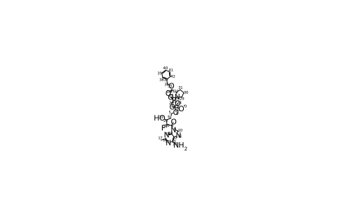 COP(=O)(OC[C@H]1O[C@@H](n2cnc3c(N)nc(C)nc32)[C@H](F)C1O)OP(C)(=O)N1CCC[C@H]1C(=O)OCc1ccccc1